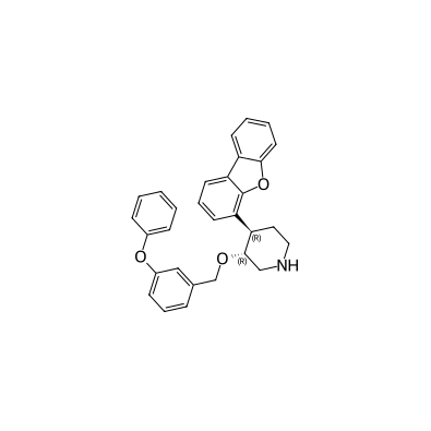 c1ccc(Oc2cccc(CO[C@H]3CNCC[C@@H]3c3cccc4c3oc3ccccc34)c2)cc1